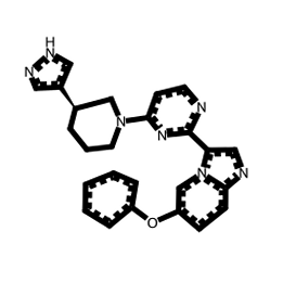 c1ccc(Oc2ccc3ncc(-c4nccc(N5CCC[C@@H](c6cn[nH]c6)C5)n4)n3c2)cc1